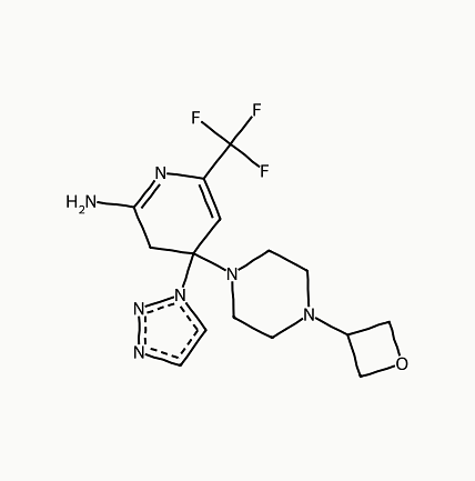 NC1=NC(C(F)(F)F)=CC(N2CCN(C3COC3)CC2)(n2ccnn2)C1